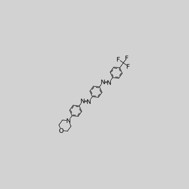 FC(F)(F)c1ccc(N=Nc2ccc(N=Nc3ccc(N4CCOCC4)cc3)cc2)cc1